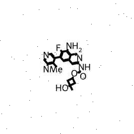 CNc1cncc(-c2cc3cc(NC(=O)OC4CC(C)(O)C4)ncc3c(N)c2F)c1C